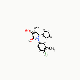 CC(=O)C1=C(O)C(=O)N(c2ccc(Cl)c(C)c2)[C@@H]1C1CCCC1